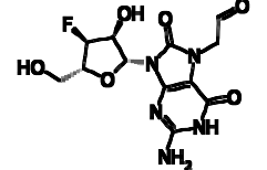 Nc1nc2c(c(=O)[nH]1)n(CC=O)c(=O)n2[C@@H]1O[C@H](CO)[C@@H](F)[C@H]1O